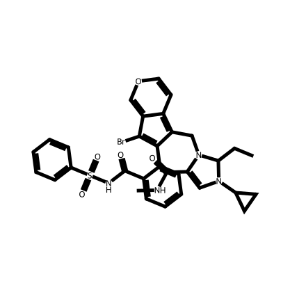 CCC1N(Cc2c3ccocc-3c(Br)c2-c2ccccc2C(=O)NS(=O)(=O)c2ccccc2)C(C(=O)NC)=CN1C1CC1